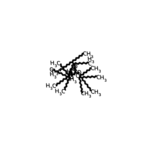 CCCCCCCCC(CCCCCCCC)C(CCCCCCCC)(CCCCCCCC)OC(=O)CC(O)(CC(=O)OC(CCCCCCCC)(CCCCCCCC)C(CCCCCCCC)CCCCCCCC)C(=O)OC(CCCCCCCC)(CCCCCCCC)C(CCCCCCCC)CCCCCCCC